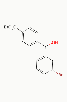 CCOC(=O)c1ccc(C(O)c2cccc(Br)c2)cc1